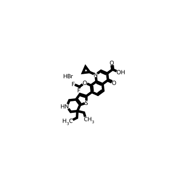 Br.CCC1(CC)CNCc2cc(-c3ccc4c(=O)c(C(=O)O)cn(C5CC5)c4c3OC(F)F)sc21